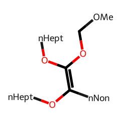 CCCCCCCCCC(OCCCCCCC)=C(OCCCCCCC)OCOC